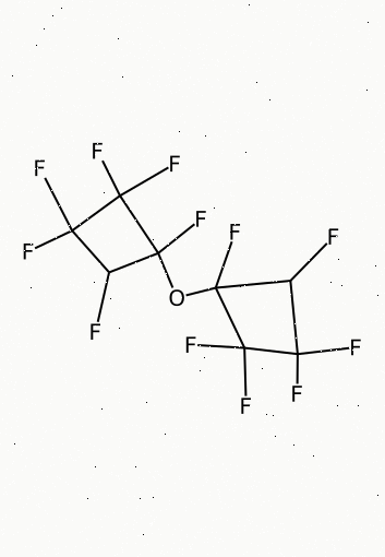 FC1C(F)(F)C(F)(F)C1(F)OC1(F)C(F)C(F)(F)C1(F)F